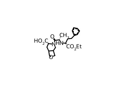 CCOC(=O)C(CCc1ccccc1)N[C@@H](C)C(=O)N1CC2COCC2C[C@H]1C(=O)O